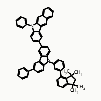 CC1(C)CC(C)(C)c2c(-c3cccc(-n4c5ccc(-c6ccccc6)cc5c5cc(-c6ccc7c(c6)c6cc8ccccc8cc6n7-c6ccccc6)ccc54)c3)cccc21